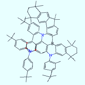 Cc1cc(C(C)(C)C)ccc1N1c2cc3c(cc2B2c4ccc5c(c4N(c4ccc(C(C)(C)C)cc4-c4ccccc4)c4cc(N(c6ccc(C(C)(C)C)cc6)c6ccc(C(C)(C)C)cc6)cc1c42)-c1cc2c(cc1C5(C)C)C(C)(C)CCC2(C)C)C(C)(C)CCC3(C)C